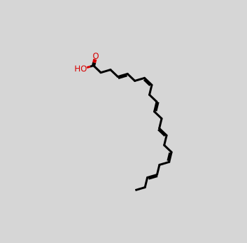 CC/C=C/C/C=C\C/C=C/C/C=C/C/C=C\C/C=C/CCC(=O)O